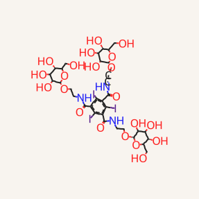 O=C(NCCO[C@@H]1OC(CO)[C@H](O)C(O)C1O)c1c(I)c(C(=O)NCCO[C@@H]2OC(CO)[C@H](O)C(O)C2O)c(I)c(C(=O)NCCO[C@@H]2OC(CO)[C@H](O)C(O)C2O)c1I